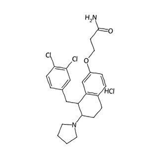 Cl.NC(=O)CCOc1ccc2c(c1)C(Cc1ccc(Cl)c(Cl)c1)C(N1CCCC1)CC2